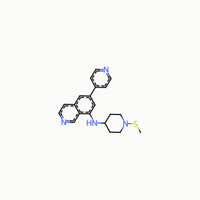 CSN1CCC(Nc2cc(-c3ccncc3)cc3ccncc23)CC1